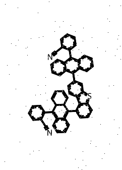 N#Cc1ccccc1C1=c2ccccc2=C(c2cccc3sc4cc(-c5c6ccccc6c(-c6ccccc6C#N)c6ccccc56)ccc4c23)C2C=CC=CC12